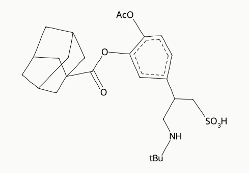 CC(=O)Oc1ccc(C(CNC(C)(C)C)CS(=O)(=O)O)cc1OC(=O)C12CC3CC(CC(C3)C1)C2